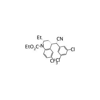 CCOC(=O)N1c2ccc(C(F)(F)F)cc2[C@@H]([C@H](C#N)c2cc(Cl)cc(Cl)c2)C[C@H]1CC